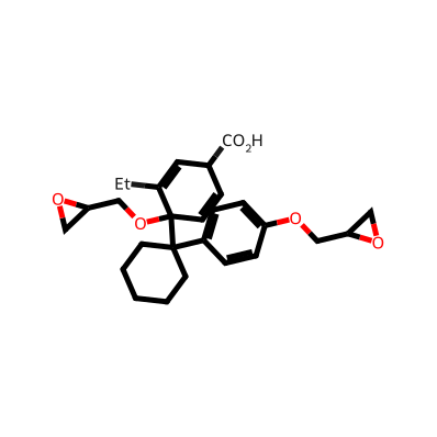 CCC1=CC(C(=O)O)C=CC1(OCC1CO1)C1(c2ccc(OCC3CO3)cc2)CCCCC1